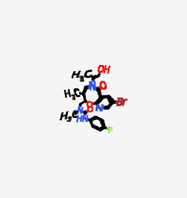 C[C@H](CO)N1C[C@H](C)[C@H](CN(C)C(=O)Nc2ccc(F)cc2)Oc2ncc(Br)cc2C1=O